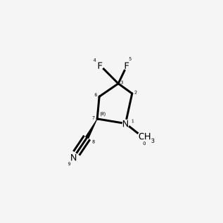 CN1CC(F)(F)C[C@@H]1C#N